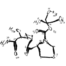 CC(NC(=O)[C@@H]1CSCN1C(=O)OC(C)(C)C)C(N)=O